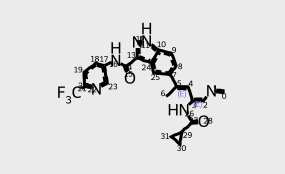 C=N/C=C(\C=C(/C)c1ccc2[nH]nc(C(=O)Nc3ccc(C(F)(F)F)nc3)c2c1)NC(=O)C1CC1